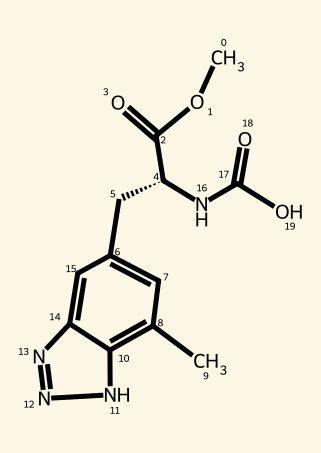 COC(=O)[C@@H](Cc1cc(C)c2[nH]nnc2c1)NC(=O)O